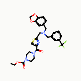 CCOC(=O)N1CCN(C(=O)c2csc(CN(Cc3cccc(C(F)(F)F)c3)Cc3ccc4c(c3)OCO4)n2)CC1